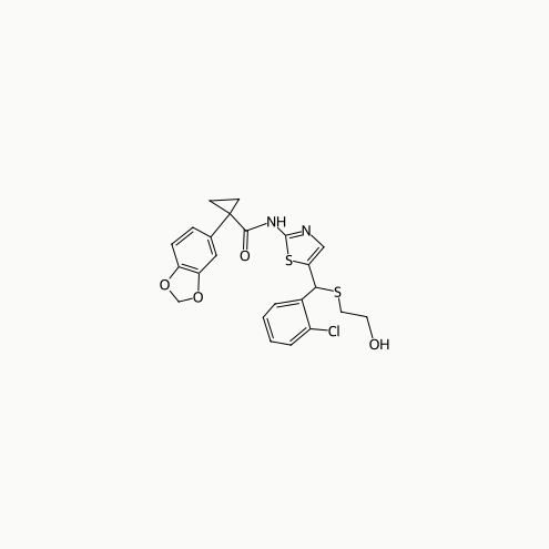 O=C(Nc1ncc(C(SCCO)c2ccccc2Cl)s1)C1(c2ccc3c(c2)OCO3)CC1